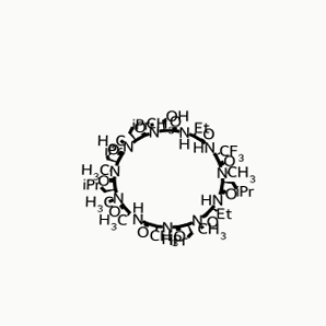 CC[C@@H]1NC(=O)[C@H](CO)N(C)C(=O)[C@H](CC(C)C)N(C)C(=O)[C@H](CC(C)C)N(C)C(=O)[C@H](CC(C)C)N(C)C(=O)[C@@H](C)NC(=O)[C@H](C)NC(=O)[C@H](CC(C)C)N(C)C(=O)[C@H](CC)NC(=O)[C@H](CC(C)C)N(C)C(=O)[C@@H](C(F)(F)F)NC1=O